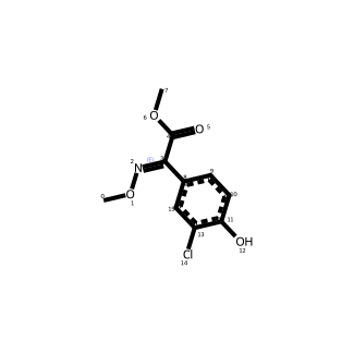 CO/N=C(/C(=O)OC)c1ccc(O)c(Cl)c1